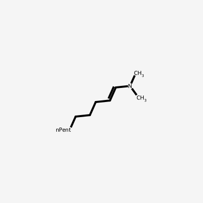 CCCCCCCCC=CN(C)C